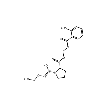 CC(=O)OCO/N=[N+](\O)N1CCC[C@H]1C(=O)OCOC(=O)c1ccccc1OC(C)=O